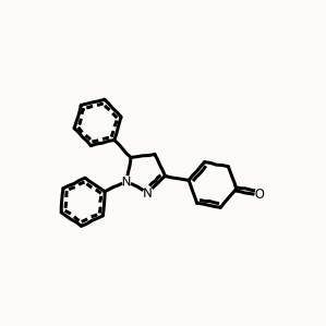 O=C1C=CC(C2=NN(c3ccccc3)C(c3ccccc3)C2)=CC1